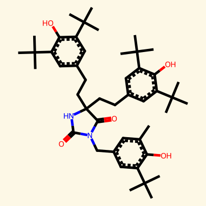 Cc1cc(CN2C(=O)NC(CCc3cc(C(C)(C)C)c(O)c(C(C)(C)C)c3)(CCc3cc(C(C)(C)C)c(O)c(C(C)(C)C)c3)C2=O)cc(C(C)(C)C)c1O